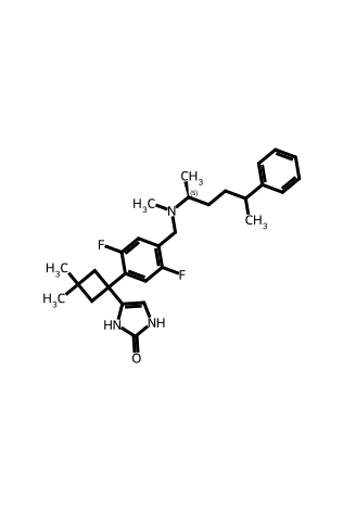 CC(CC[C@H](C)N(C)Cc1cc(F)c(C2(c3c[nH]c(=O)[nH]3)CC(C)(C)C2)cc1F)c1ccccc1